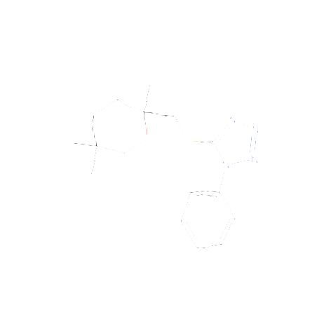 CC1(C)CCC(C)(CSc2nnnn2-c2ccccc2)OC1